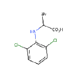 CC(C)C(Nc1c(Cl)cccc1Cl)C(=O)O